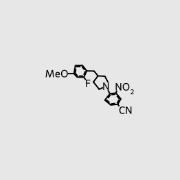 COc1ccc(CC2CCN(c3ccc(C#N)cc3[N+](=O)[O-])CC2)c(F)c1